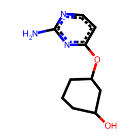 Nc1nccc(OC2CCCC(O)C2)n1